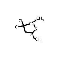 CC[C@@H](CC(Cl)(Cl)Cl)SSC